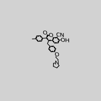 Cc1ccc(-c2c(Cc3ccc(OCCN4CCCC4)cc3)c3ccc(O)c(C#N)c3oc2=O)cc1